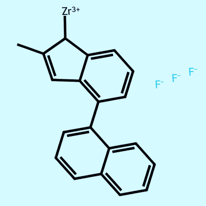 CC1=Cc2c(-c3cccc4ccccc34)cccc2[CH]1[Zr+3].[F-].[F-].[F-]